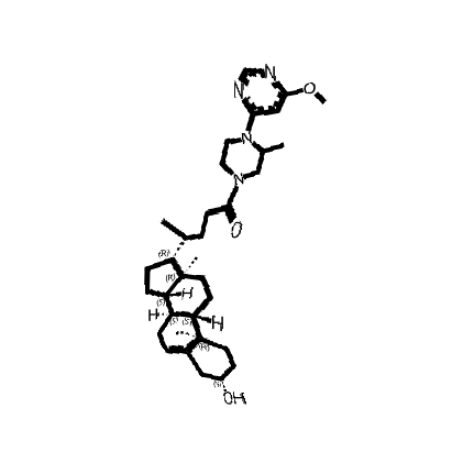 COc1cc(N2CCN(C(=O)CCC(C)[C@H]3CC[C@H]4[C@@H]5CC=C6C[C@@H](O)CC[C@]6(C)[C@H]5CC[C@]34C)CC2C)ncn1